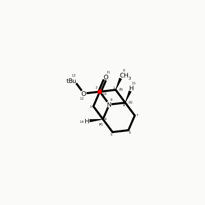 C[C@@H]1CC[C@H]2CCC[C@@H]1N2C(=O)OC(C)(C)C